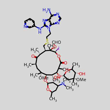 CO[C@]1(C)C[C@@H](C)C(=O)[C@H](C)[C@@H](CSCCn2c(Nc3cccnc3)nc3c(N)ncnc32)[C@](C)(OC=O)[C@@H](I)OC(=O)C(C)[C@@H](O[C@H]2C[C@@](C)(OC)[C@@H](O)C(C)O2)[C@H](C)[C@H]1O[C@@H]1OC(C)CC(N(C)C)[C@H]1O